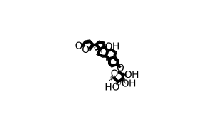 C[C@@H]1OC(OC2C=C3CCC4C(CC[C@]5(C)[C@@H](c6ccc(=O)oc6)CC[C@]45O)[C@@]3(C)CC2)[C@H](O)[C@H](O)[C@H]1O